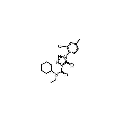 CCN(C(=O)n1nnn(-c2ccc(C)cc2Cl)c1=O)C1CCCCC1